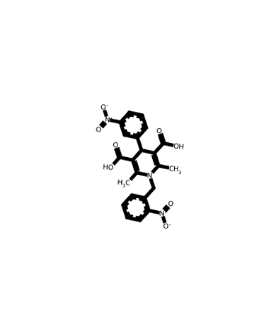 CC1=C(C(=O)O)C(c2cccc([N+](=O)[O-])c2)C(C(=O)O)=C(C)N1Cc1ccccc1[N+](=O)[O-]